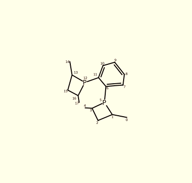 CC1CC(C)P1c1ccccc1P1C(C)CC1C